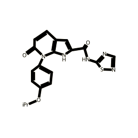 CC(C)Oc1ccc(-n2c(=O)ccc3cc(C(=O)Nc4ncns4)[nH]c32)cc1